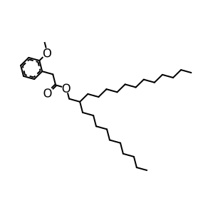 CCCCCCCCCCCCC(CCCCCCCCCC)COC(=O)Cc1ccccc1OC